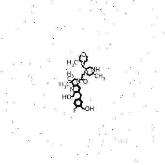 C[C@@H]1CN(CC(=O)N2CC(C)(C)c3nc(CO)c(Cc4ccc(F)c(CO)c4)cc32)[C@@H](CN2CCOC[C@H]2C)CN1